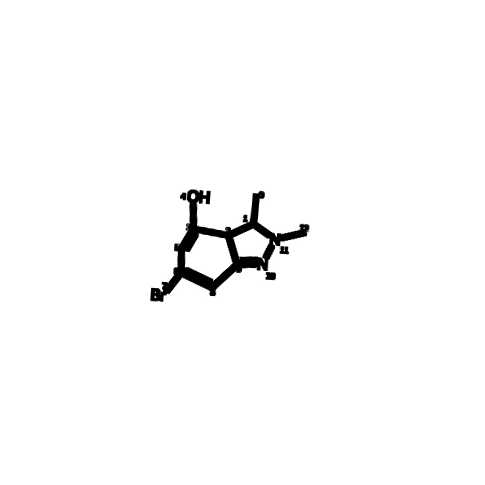 CC1C2C(O)=CC(Br)=CC2=NN1C